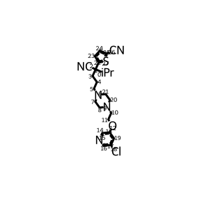 CC(C)C(C#N)(CCCN1CCN(CCOc2cncc(Cl)c2)CC1)c1ccc(C#N)s1